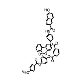 COc1ccc(C(=O)Oc2ccc(OC(=O)c3cccc(C(=O)Oc4ccc(NC(=O)c5ccc6cc(O)ccc6c5)cc4)c3)c(P3(=O)Oc4ccccc4-c4ccccc43)c2)cc1